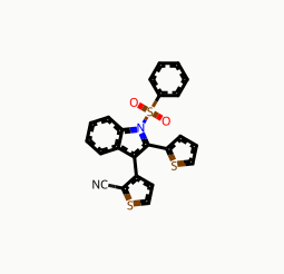 N#Cc1sccc1-c1c(-c2cccs2)n(S(=O)(=O)c2ccccc2)c2ccccc12